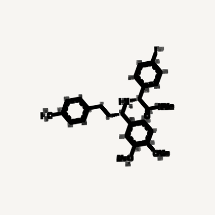 CNC(=O)[C@H](N[C@@H](CCc1ccc(C(F)(F)F)cc1)c1ccc(OC)c(OC)c1)c1ccc(F)cc1